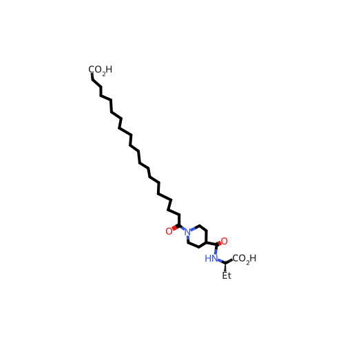 CC[C@@H](NC(=O)C1CCN(C(=O)CCCCCCCCCCCCCCCCCCC(=O)O)CC1)C(=O)O